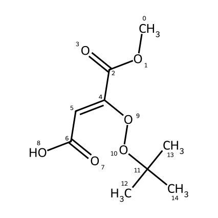 COC(=O)C(=CC(=O)O)OOC(C)(C)C